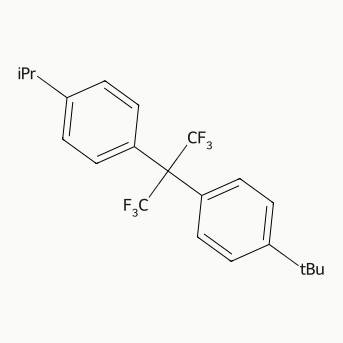 CC(C)c1ccc(C(c2ccc(C(C)(C)C)cc2)(C(F)(F)F)C(F)(F)F)cc1